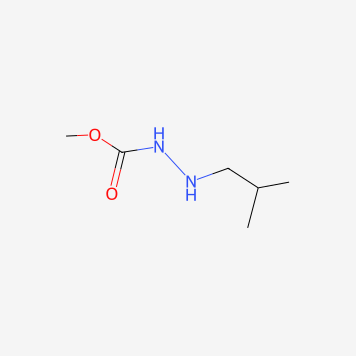 COC(=O)NNCC(C)C